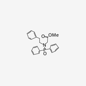 COC(=O)CN(CCc1ccccc1)P(=O)(c1ccccc1)c1ccccc1